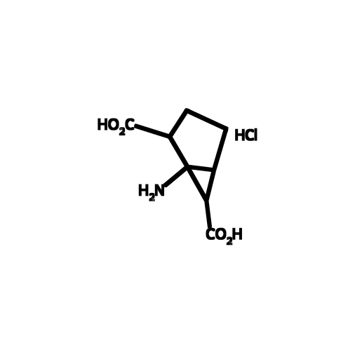 Cl.NC12C(C(=O)O)CCC1C2C(=O)O